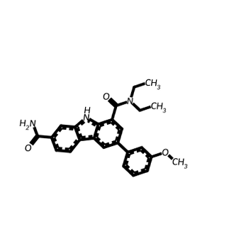 CCN(CC)C(=O)c1cc(-c2cccc(OC)c2)cc2c1[nH]c1cc(C(N)=O)ccc12